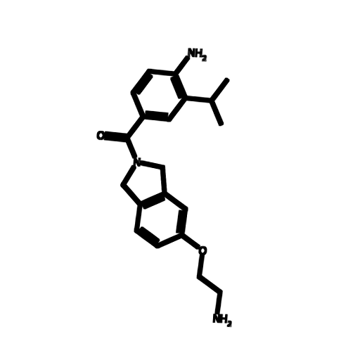 CC(C)c1cc(C(=O)N2Cc3ccc(OCCN)cc3C2)ccc1N